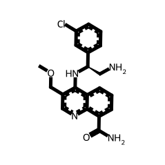 COCc1cnc2c(C(N)=O)cccc2c1N[C@H](CN)c1cccc(Cl)c1